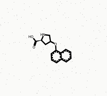 O=C(O)[C@@H]1CC(Oc2cccc3ccccc23)CN1